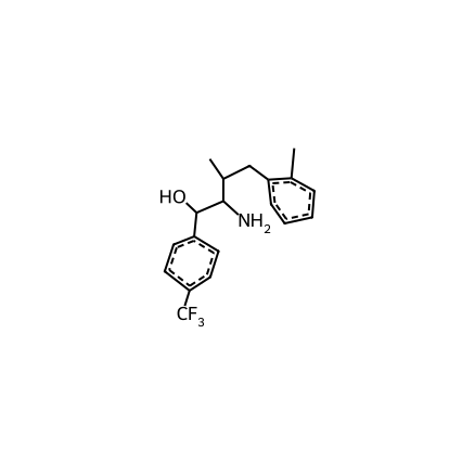 Cc1ccccc1CC(C)C(N)C(O)c1ccc(C(F)(F)F)cc1